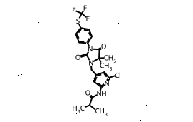 CC(C)C(=O)Nc1cc(CN2C(=O)N(c3ccc(SC(F)(F)F)cc3)C(=O)C2(C)C)cc(Cl)n1